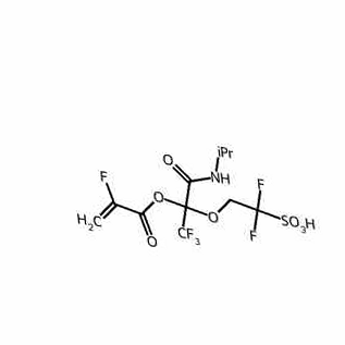 C=C(F)C(=O)OC(OCC(F)(F)S(=O)(=O)O)(C(=O)NC(C)C)C(F)(F)F